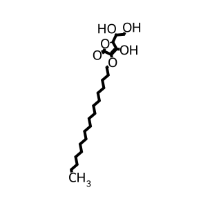 CCCCCCCCCCCCCCCCCCOC1=C(O)[C@@H]([C@@H](O)CO)OC1=O